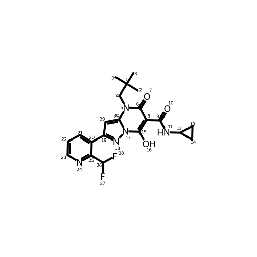 CC(C)(C)Cn1c(=O)c(C(=O)NC2CC2)c(O)n2nc(-c3cccnc3C(F)F)cc12